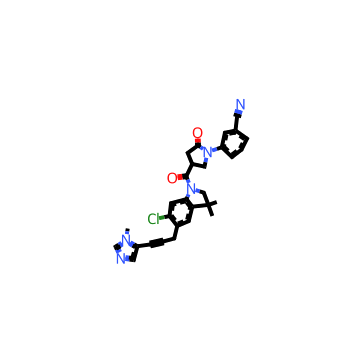 Cn1cncc1C#CCc1cc2c(cc1Cl)N(C(=O)C1CC(=O)N(c3cccc(C#N)c3)C1)CC2(C)C